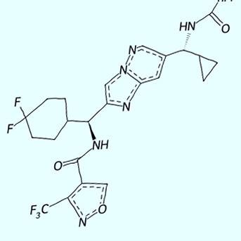 CCCC(=O)N[C@@H](c1cnn2cc([C@@H](NC(=O)c3conc3C(F)(F)F)C3CCC(F)(F)CC3)nc2c1)C1CC1